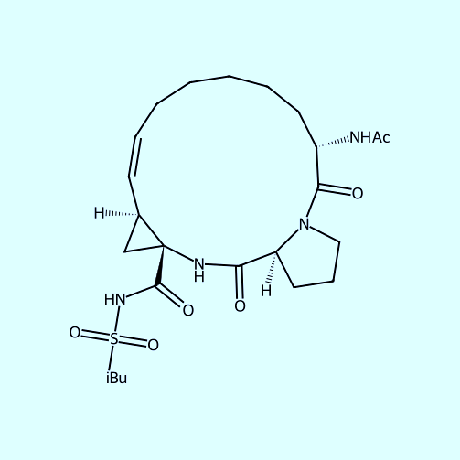 CCC(C)S(=O)(=O)NC(=O)[C@@]12C[C@H]1/C=C\CCCCC[C@H](NC(C)=O)C(=O)N1CCC[C@H]1C(=O)N2